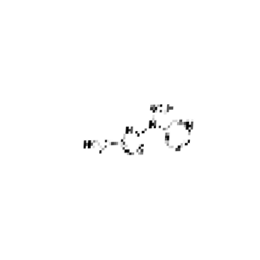 O=C(O)c1csc(N(c2cccnc2)S(=O)(=O)O)n1